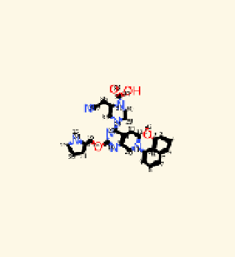 COc1cccc2cccc(N3CCc4c(nc(OCC5CCCN5C)nc4N4CCN(C(=O)O)C(CC#N)C4)C3)c12